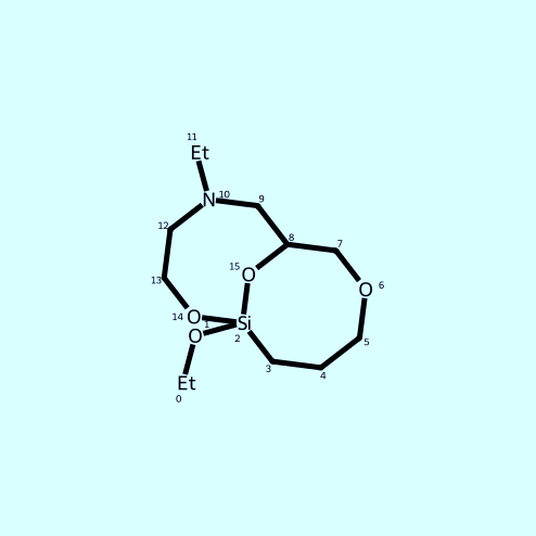 CCO[Si]12CCCOCC(CN(CC)CCO1)O2